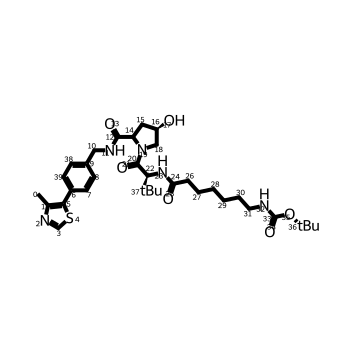 Cc1ncsc1-c1ccc(CNC(=O)C2C[C@@H](O)CN2C(=O)[C@@H](NC(=O)CCCCCCNC(=O)OC(C)(C)C)C(C)(C)C)cc1